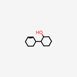 OC1CCCCC1C1C=CCCC1